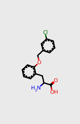 NC(Cc1ccccc1OCc1cccc(Cl)c1)C(=O)O